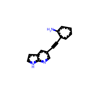 Nc1ccccc1C#Cc1cnc2[nH]ccc2c1